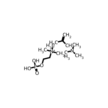 C=C(C)C.CN(C)C.C[N+](C)(C)CCOP(=O)(O)O